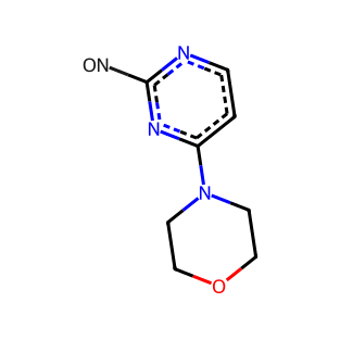 O=Nc1nccc(N2CCOCC2)n1